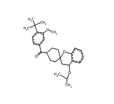 COc1cc(C(=O)N2CCC3(CC2)CC(OC(C)C)c2ccccc2O3)ccc1C(C)(C)C